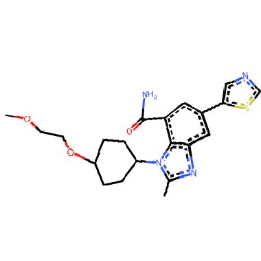 COCCOC1CCC(n2c(C)nc3cc(-c4cncs4)cc(C(N)=O)c32)CC1